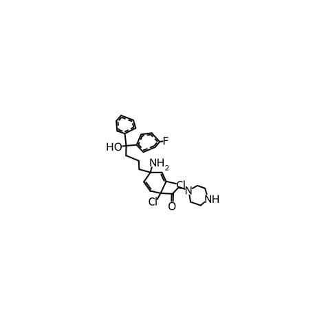 NC1(CCCC(O)(c2ccccc2)c2ccc(F)cc2)C=CC(Cl)(C(=O)CN2CCNCC2)C(Cl)=C1